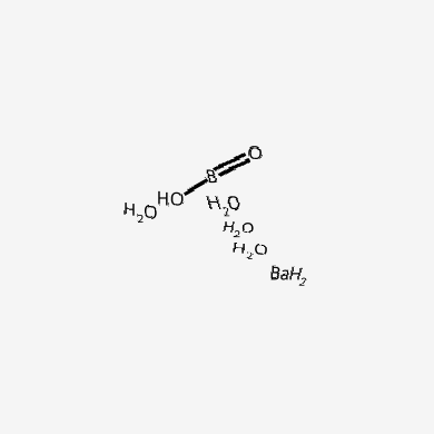 O.O.O.O.O=BO.[BaH2]